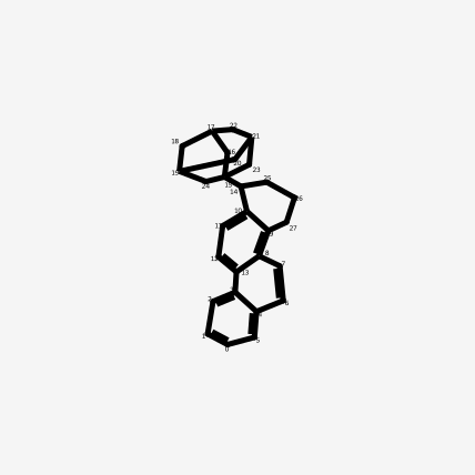 c1ccc2c(c1)ccc1c3c(ccc12)C(C12CC4CC(CC(C4)C1)C2)CCC3